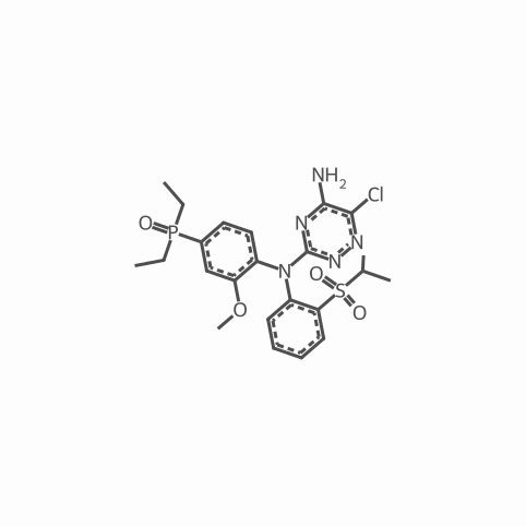 CCP(=O)(CC)c1ccc(N(c2nnc(Cl)c(N)n2)c2ccccc2S(=O)(=O)C(C)C)c(OC)c1